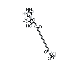 NC1C=CN(C2OC(COC(=O)CCCCCCCCCCC(=O)OCC(Cl)(Cl)Cl)C(O)C2O)C(=O)N1